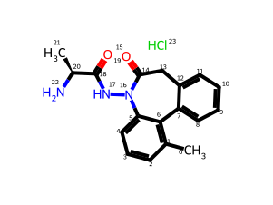 Cc1cccc2c1-c1ccccc1CC(=O)N2NC(=O)[C@H](C)N.Cl